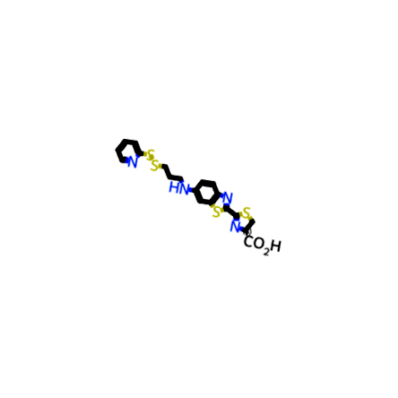 O=C(O)[C@H]1CSC(c2nc3ccc(NCCCSSc4ccccn4)cc3s2)=N1